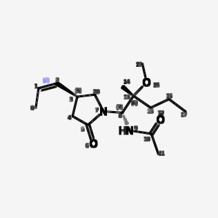 C/C=C\[C@@H]1CC(=O)N([C@@H](NC(C)=O)[C@@](C)(CCC)OC)C1